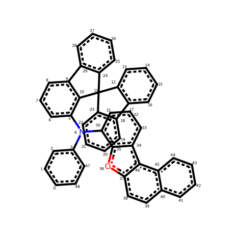 c1ccc(N(c2cccc3c2C2(c4ccccc4-c4ccccc42)c2ccccc2-3)c2cccc3c2oc2ccc4ccccc4c23)cc1